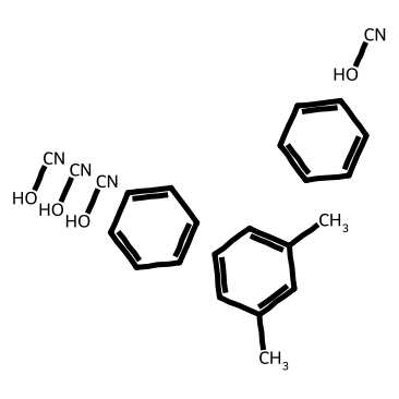 Cc1cccc(C)c1.N#CO.N#CO.N#CO.N#CO.c1ccccc1.c1ccccc1